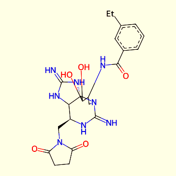 CCc1cccc(C(=O)NC2CN3C(=N)N[C@@H](CN4C(=O)CCC4=O)C4NC(=N)N[C@]43C2(O)O)c1